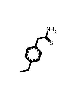 CCc1ccc(CC(N)=S)cc1